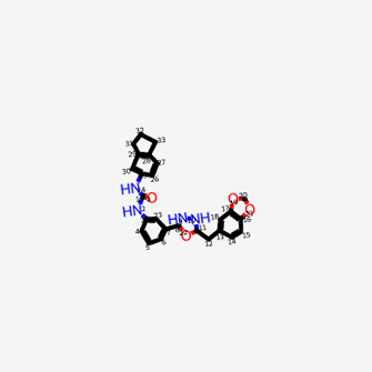 O=C(Nc1cccc(C2NNC(Cc3ccc4c(c3)OCO4)O2)c1)Nc1ccc2c(c1)CCC2